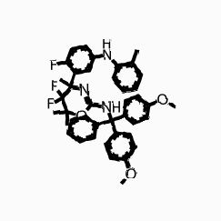 COc1ccc(C(NC2=NC(C)(c3cc(Nc4ccccc4C)ccc3F)C(F)(F)C(C)(C)O2)(c2ccccc2)c2ccc(OC)cc2)cc1